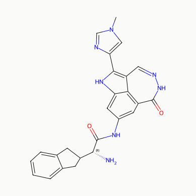 Cn1cnc(-c2[nH]c3cc(NC(=O)[C@H](N)C4Cc5ccccc5C4)cc4c3c2C=NNC4=O)c1